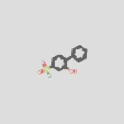 O=S(=O)(Cl)c1ccc(-c2ccccc2)c(O)c1